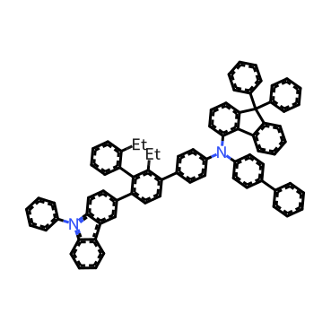 CCc1ccccc1-c1c(-c2ccc3c(c2)c2ccccc2n3-c2ccccc2)ccc(-c2ccc(N(c3ccc(-c4ccccc4)cc3)c3cccc4c3-c3ccccc3C4(c3ccccc3)c3ccccc3)cc2)c1CC